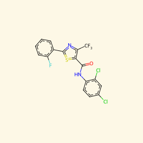 O=C(Nc1ccc(Cl)cc1Cl)c1sc(-c2ccccc2F)nc1C(F)(F)F